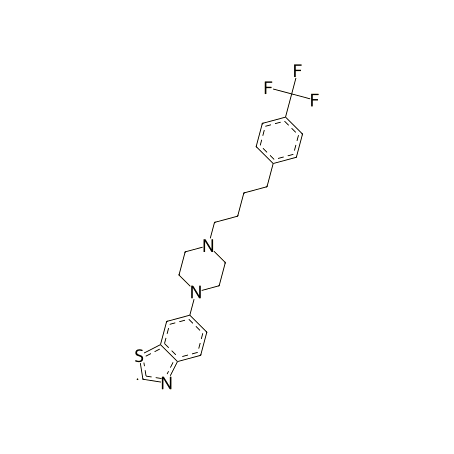 FC(F)(F)c1ccc(CCCCN2CCN(c3ccc4n[c]sc4c3)CC2)cc1